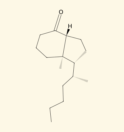 CCCC[C@@H](C)[C@H]1CC[C@H]2C(=O)CCC[C@]12C